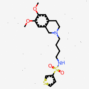 COc1cc2c(cc1OC)CN(CCCCNS(=O)(=O)c1ccsc1)CC2